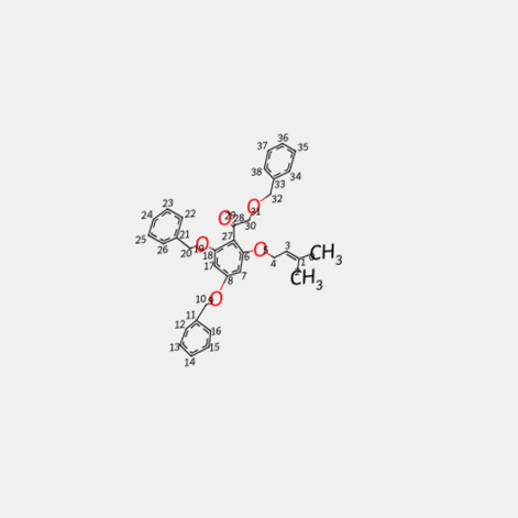 CC(C)=CCOc1cc(OCc2ccccc2)cc(OCc2ccccc2)c1C(=O)COCc1ccccc1